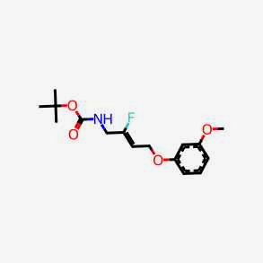 COc1cccc(OC/C=C(\F)CNC(=O)OC(C)(C)C)c1